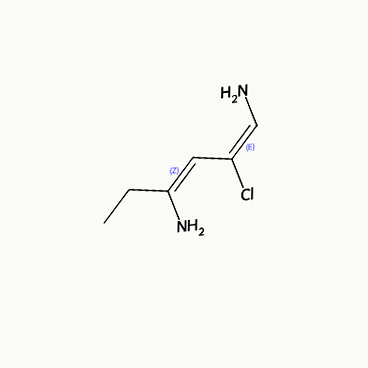 CC/C(N)=C/C(Cl)=C\N